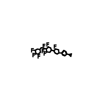 FC1CC(CC(F)(F)C2C(F)CC(C3CCC(c4ccc(C5CC5)cc4)CC3F)CC2F)CC(F)C1F